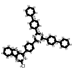 Clc1nc(-c2ccc(-c3nc(-c4ccc(-c5ccccc5)cc4)nc(-c4ccc(-c5ccccc5)cc4)n3)cc2)c2sc3ccccc3c2n1